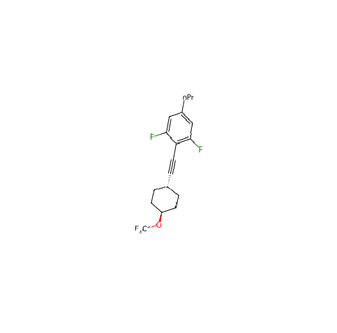 CCCc1cc(F)c(C#C[C@H]2CC[C@H](OC(F)(F)F)CC2)c(F)c1